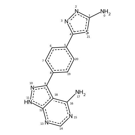 Nc1nnc(-c2ccc(-c3n[nH]c4ncnc(N)c34)cc2)s1